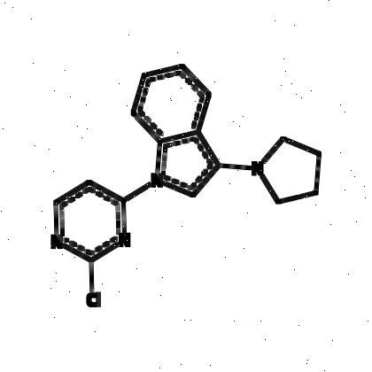 Clc1nccc(-n2cc(N3CCCC3)c3ccccc32)n1